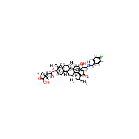 CC(C)C1=C2[C@H]3CC[C@@H]4[C@@]5(C)CC[C@H](OC(=O)CC(C)(C)C(=O)O)C6(C)C[C@]65CC[C@@]4(C)[C@]3(C)CCC2([C@H](O)CNCc2ccc(Cl)cc2)CC1=O